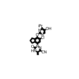 C=C1NC(=O)N(c2cc(Cl)c(Oc3ncc(O)c(C(C)C)n3)c3c2CCC3)N=C1C#N